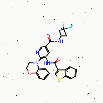 O=C(NC1CC(F)(F)C1)c1cnc(N2CCOc3ccccc32)c(NC(=O)c2csc3ccccc23)c1